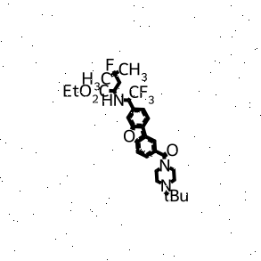 CCOC(=O)C(CC(C)(C)F)NC(c1ccc2c(c1)oc1ccc(C(=O)N3CCN(C(C)(C)C)CC3)cc12)C(F)(F)F